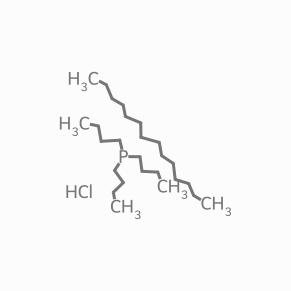 CCCCCCCCCCCCCC.CCCCP(CCCC)CCCC.Cl